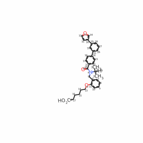 [2H]C(C)(C)N(Cc1ccccc1OCCCCCC(=O)O)C(=O)c1ccc(-c2cccc(-c3ccoc3)c2)cc1